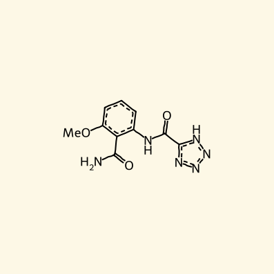 COc1cccc(NC(=O)c2nnn[nH]2)c1C(N)=O